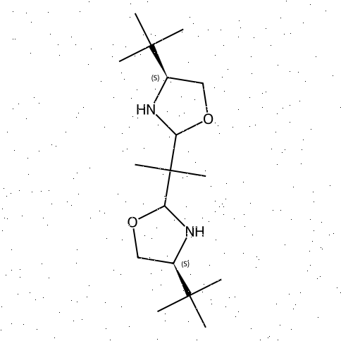 CC(C)(C1N[C@@H](C(C)(C)C)CO1)C1N[C@@H](C(C)(C)C)CO1